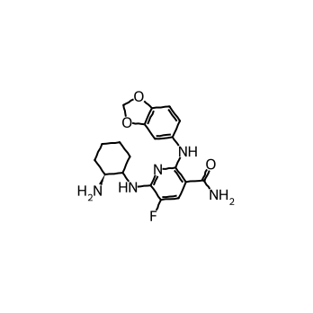 NC(=O)c1cc(F)c(NC2CCCC[C@@H]2N)nc1Nc1ccc2c(c1)OCO2